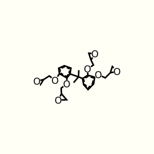 CC(C)(c1cccc(OCC2CO2)c1OCC1CO1)c1cccc(OCC2CO2)c1OCC1CO1